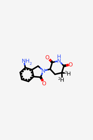 [2H]C1([2H])CC(N2Cc3c(N)cccc3C2=O)C(=O)NC1=O